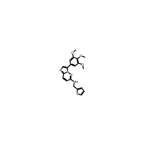 COc1cc(-c2cnc3ccc(NCc4cccs4)nn23)cc(OC)c1OC